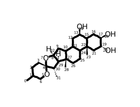 CC1CC[C@@]2(OC1)O[C@H]1CC3C4C[C@@H](O)C5C[C@@H](O)[C@H](O)C[C@]5(C)C4CC[C@]3(C)[C@H]1[C@@H]2C